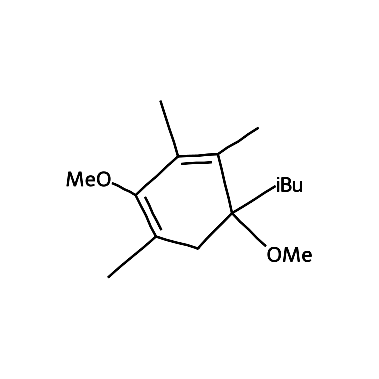 CCC(C)C1(OC)CC(C)=C(OC)C(C)=C1C